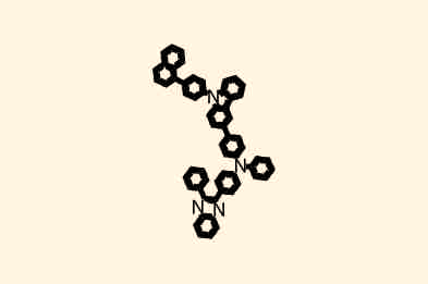 c1ccc(-c2nc3ccccc3nc2-c2ccc(N(c3ccccc3)c3ccc(-c4ccc5c(c4)c4ccccc4n5-c4ccc(-c5cccc6ccccc56)cc4)cc3)cc2)cc1